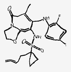 C=CCC1(S(=O)(=O)Nc2c(Nc3ccc(I)cc3F)c(C)c(=O)n3c2OCC3)CC1